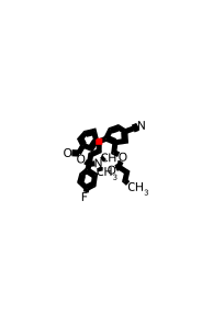 CCCC(=O)OCc1cc(C#N)ccc1CCCC(OC(=O)c1ccccc1)(c1ccc(F)cc1)N(C)C